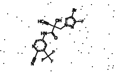 C#CC(O)(Cn1cc(Br)c(F)n1)C(=O)Nc1cnc(C#N)c(C(F)(F)F)c1